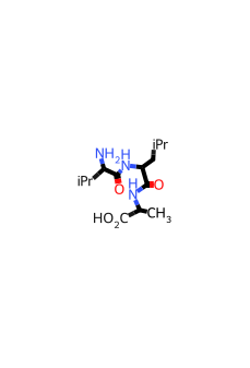 CC(C)CC(NC(=O)C(N)C(C)C)C(=O)NC(C)C(=O)O